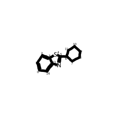 c1ccc2sc([C]3CCCCC3)nc2c1